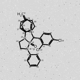 C=C1CCN(C(c2ccc(Cl)cc2Cl)P2(=O)N(c3ccccc3)CCN2c2ccccc2)CC1